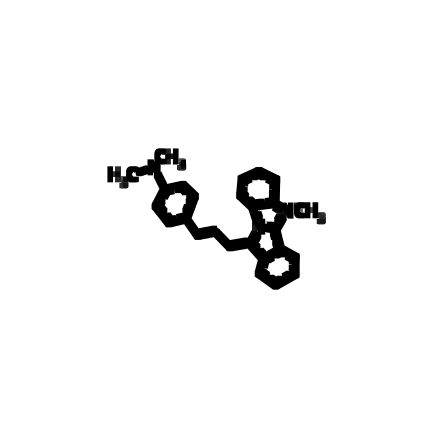 CN(C)c1ccc(C=CC=c2c3ccccc3c3n2c2ccccc2[n+]3C)cc1